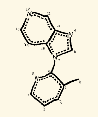 Cc1cccnc1-n1cnc2cnccc21